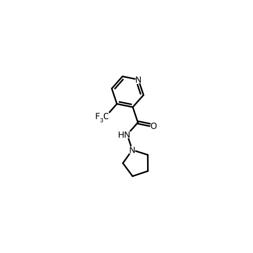 O=C(NN1CCCC1)c1cnccc1C(F)(F)F